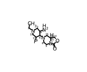 CCN1CC(N)C(N2CCN3C(=O)OC[C@H]3C2)C(F)C1